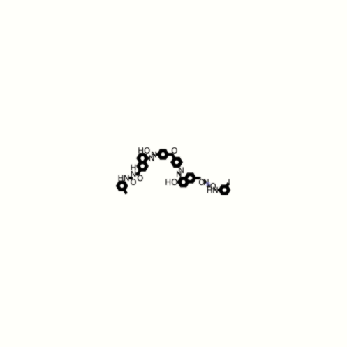 Cc1cccc(NC(=O)NC(=O)c2ccc3c(N=Nc4ccc(C(=O)c5ccc(N=Nc6c(O)ccc7cc(CO/N=C/ONc8cccc(I)c8)ccc67)cc5)cc4)c(O)ccc3c2)c1